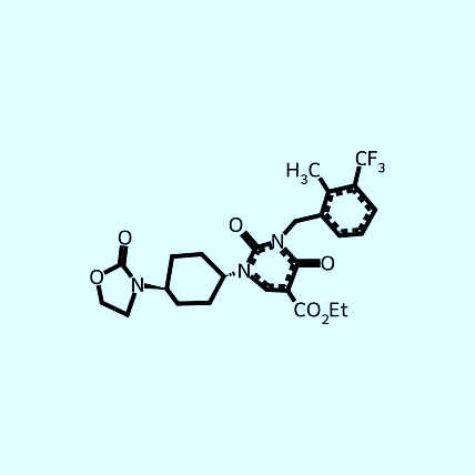 CCOC(=O)c1cn([C@H]2CC[C@H](N3CCOC3=O)CC2)c(=O)n(Cc2cccc(C(F)(F)F)c2C)c1=O